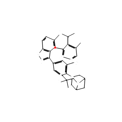 Cc1cnnc(C)c1C(C)Oc1ccc2[nH]nc(-c3cnc(N4CC5CC(C4)N5CC(C)(C)O)c(C#N)c3)c2c1